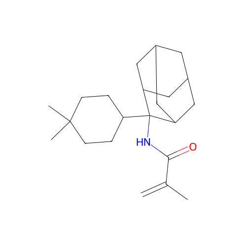 C=C(C)C(=O)NC1(C2CCC(C)(C)CC2)C2CC3CC(C2)CC1C3